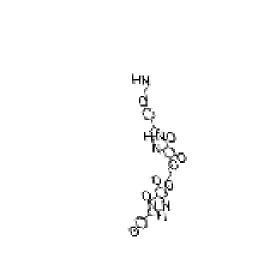 CNCCCOc1ccc(C2=CN3C(=O)c4cc(OC)c(OCCCOc5cc6c(cc5OC)C(=O)N5C=C(c7ccc(OC)cc7)C[C@H]5C=N6)cc4N=C[C@@H]3C2)cc1